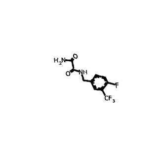 NC(=O)C(=O)NCc1ccc(F)c(C(F)(F)F)c1